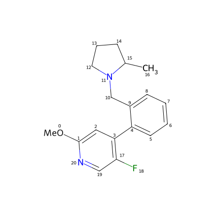 COc1cc(-c2ccccc2CN2CCCC2C)c(F)cn1